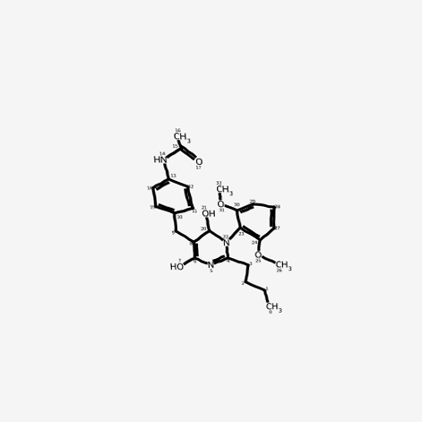 CCCCC1=NC(O)=C(Cc2ccc(NC(C)=O)cc2)C(O)N1c1c(OC)cccc1OC